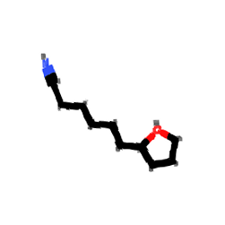 N#CCCCCCC1CCCO1